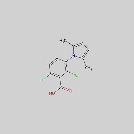 Cc1ccc(C)n1-c1ccc(F)c(C(=O)O)c1Cl